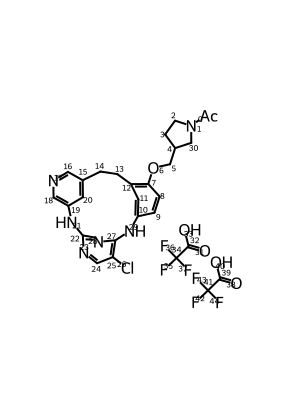 CC(=O)N1CCC(COc2ccc3cc2CCc2cncc(c2)Nc2ncc(Cl)c(n2)N3)C1.O=C(O)C(F)(F)F.O=C(O)C(F)(F)F